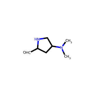 CN(C)C1CNC(C=O)C1